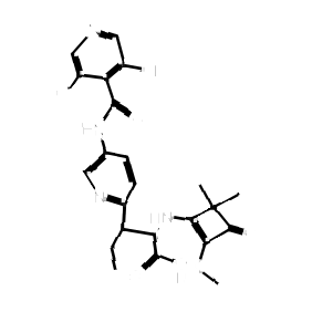 CCC(c1ccc(NC(=O)c2c(Cl)cncc2Cl)cn1)[C@H](NC1=C(SC)C(=O)C1(C)C)C(=O)O